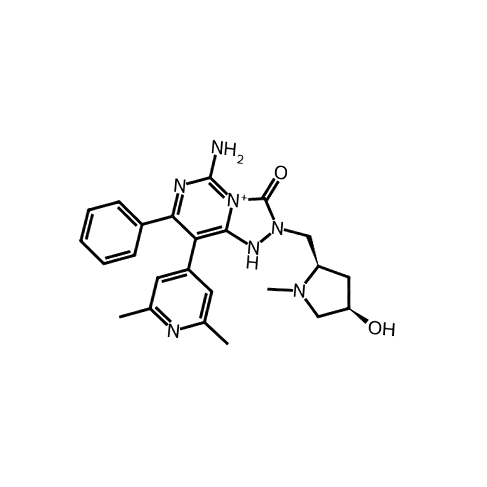 Cc1cc(-c2c(-c3ccccc3)nc(N)[n+]3c(=O)n(C[C@H]4C[C@@H](O)CN4C)[nH]c23)cc(C)n1